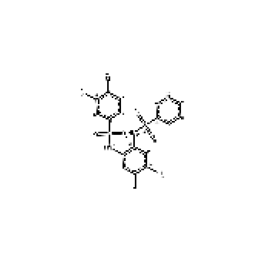 Cc1cc(NS(=O)(=O)c2ccc(Cl)c(C(F)(F)F)c2)c(NS(=O)(=O)c2cccnc2)cc1Cl